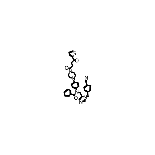 N#Cc1ccc(Cn2cncc2CN(C(=O)c2ccccc2)c2ccc(N3CCN(C(=O)CCC(=O)c4cccs4)CC3)cc2)cc1